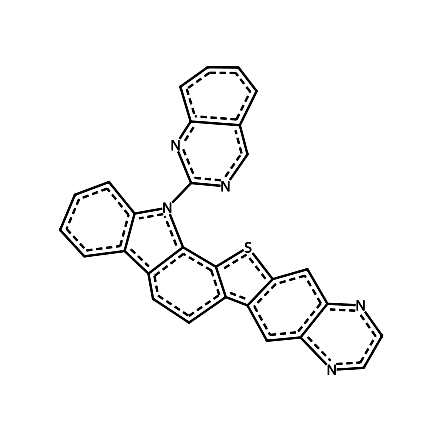 c1ccc2nc(-n3c4ccccc4c4ccc5c6cc7nccnc7cc6sc5c43)ncc2c1